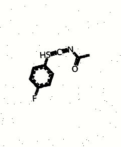 CC(=O)N=C=[SH]c1ccc(F)cc1